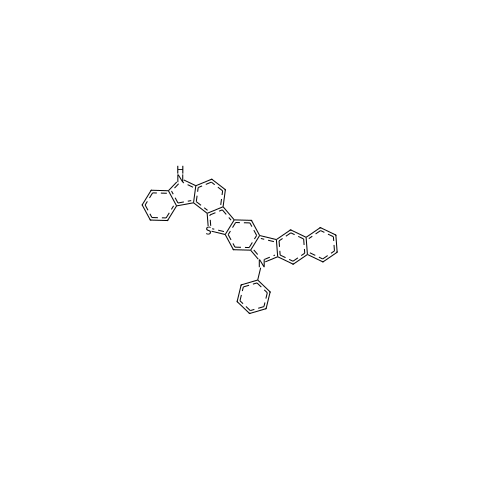 c1ccc(-n2c3cc4ccccc4cc3c3cc4c(cc32)sc2c4ccc3[nH]c4ccccc4c32)cc1